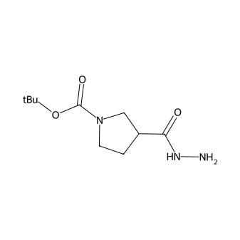 CC(C)(C)OC(=O)N1CCC(C(=O)NN)C1